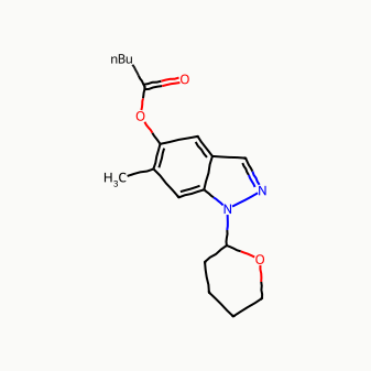 CCCCC(=O)Oc1cc2cnn(C3CCCCO3)c2cc1C